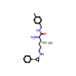 Cc1ccc(CNC(=O)C(N)CCCCN[C@@H]2C[C@H]2c2ccccc2)cc1.Cl.Cl